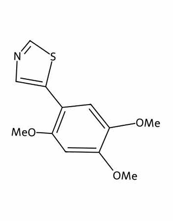 COc1cc(OC)c(-c2cncs2)cc1OC